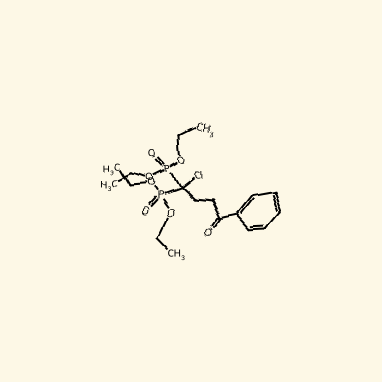 CCOP(=O)(OCC)C(Cl)(CCC(=O)c1ccccc1)P(=O)(OCC)OCC